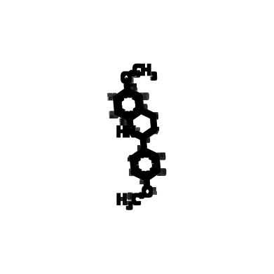 COc1ccc(C2CCc3cc(OC)ccc3N2)cc1